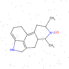 CC1CC2=C3CCC=C4NCC(=C43)CC2C(C)[N+]1=O